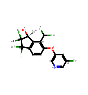 [2H][C@]1(O)c2c(ccc(Oc3cncc(F)c3)c2C(F)F)C(F)(F)C1(F)F